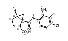 Cc1c(Cl)ccc(NC(=O)[C@]23C[C@H]2CCN3C(=O)O)c1N